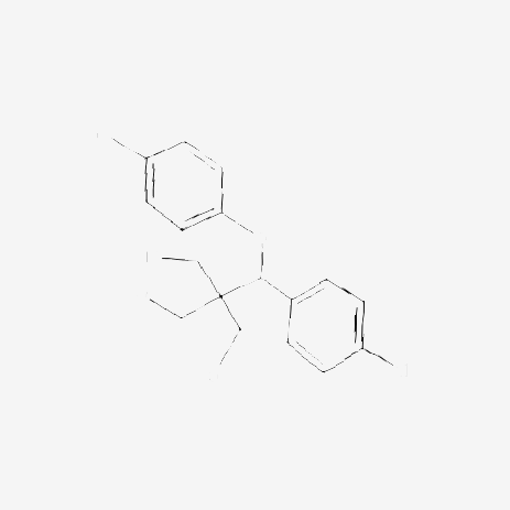 OCC(CO)(CO)C(Oc1ccc(Cl)cc1)c1ccc(Cl)cc1